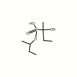 CCC(C)OP(=O)(O)C(C)(O)CC